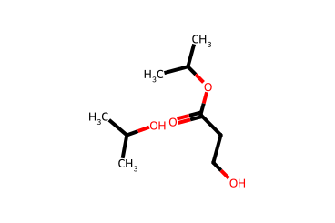 CC(C)O.CC(C)OC(=O)CCO